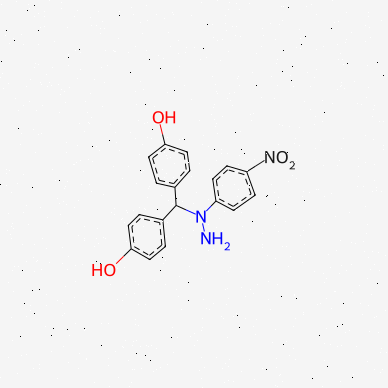 NN(c1ccc([N+](=O)[O-])cc1)C(c1ccc(O)cc1)c1ccc(O)cc1